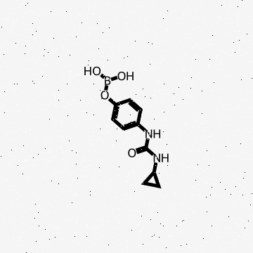 O=C(Nc1ccc(OB(O)O)cc1)NC1CC1